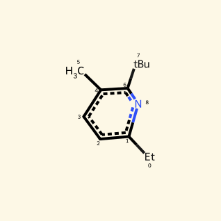 CCc1ccc(C)c(C(C)(C)C)n1